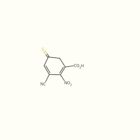 N#CC1=CC(=S)CC(C(=O)O)=C1[N+](=O)[O-]